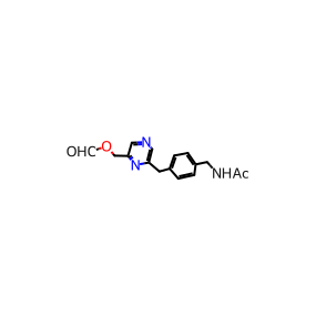 CC(=O)NCc1ccc(Cc2cncc(COC=O)n2)cc1